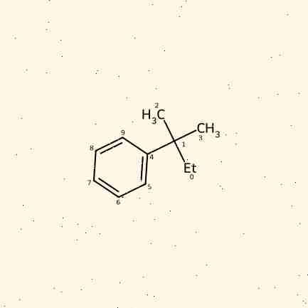 CCC(C)(C)c1c[c]ccc1